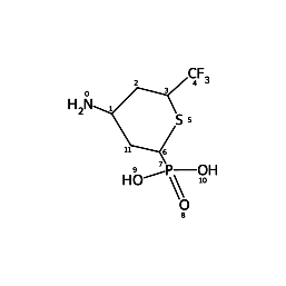 NC1CC(C(F)(F)F)SC(P(=O)(O)O)C1